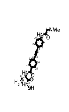 CNCC(=O)Nc1ccc(C#Cc2ccc(C(=O)N[C@@H](CN)C(=O)NO)cc2)cc1